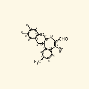 Cc1ccc(CN2c3cc(C(F)(F)F)ccc3C(Br)=C(C=O)CC2O)cc1C